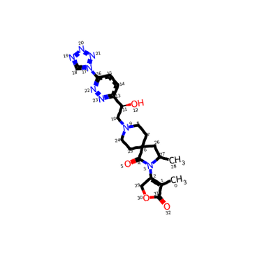 CC1=C(N2C(=O)C3(CCN(C[C@H](O)c4ccc(-n5cnnn5)nn4)CC3)CC2C)COC1=O